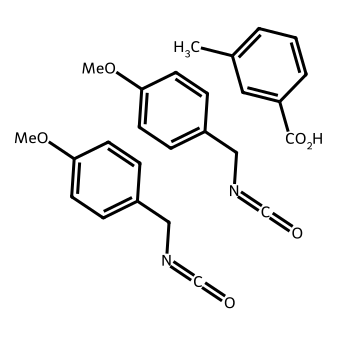 COc1ccc(CN=C=O)cc1.COc1ccc(CN=C=O)cc1.Cc1cccc(C(=O)O)c1